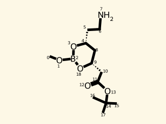 COB1O[C@H](CCN)C[C@H](CC(=O)OC(C)(C)C)O1